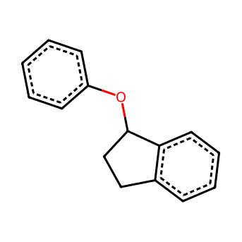 c1ccc(OC2CCc3ccccc32)cc1